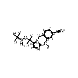 COc1cc(C#N)ccc1Cn1cncc1C(C)(C)O[SiH2]C(C)(C)C